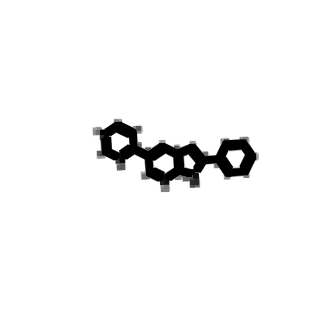 c1ccc(-c2cc3cc(-c4ccncn4)cnc3[nH]2)cc1